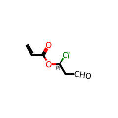 C=CC(=O)O[C@@H](Cl)CC=O